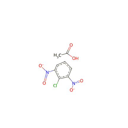 CC(=O)O.O=[N+]([O-])c1cccc([N+](=O)[O-])c1Cl